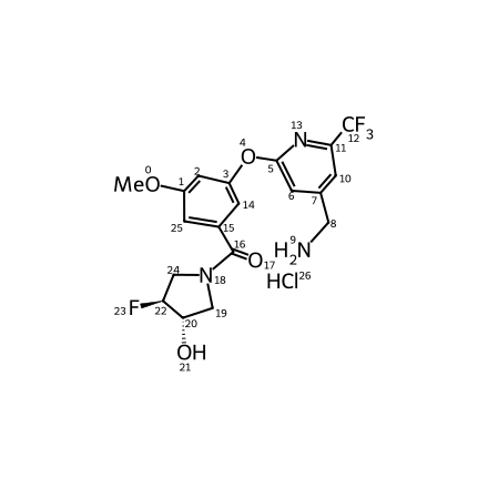 COc1cc(Oc2cc(CN)cc(C(F)(F)F)n2)cc(C(=O)N2C[C@H](O)[C@@H](F)C2)c1.Cl